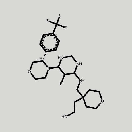 OCCC1(CNC2NCNC(N3CCOC[C@@H]3c3ccc(C(F)(F)F)cc3)C2F)CCOCC1